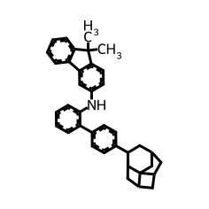 CC1(C)c2ccccc2-c2cc(Nc3ccccc3-c3ccc(C45CC6CC7CC(C4)C7(C6)C5)cc3)ccc21